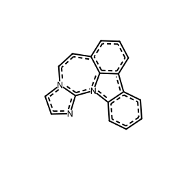 c1ccc2c(c1)c1cccc3ccn4ccnc4n2c31